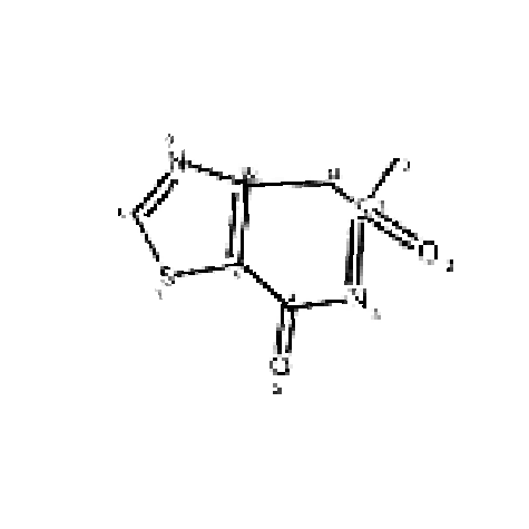 CS1(=O)=NC(=O)c2scnc2C1